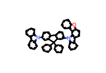 c1ccc(C2(c3ccccc3)c3cc(-n4c5ccccc5c5ccccc54)ccc3-c3ccc(-n4c5ccccc5c5ccc6oc7ccccc7c6c54)cc32)cc1